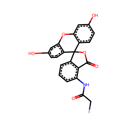 O=C(CI)Nc1cccc2c1C(=O)OC21c2ccc(O)cc2Oc2cc(O)ccc21